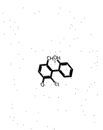 CCc1c([O])ccc(C)c1-c1ccccc1O